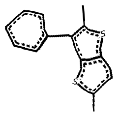 Cc1cc2sc(C)c(-c3ccccc3)c2s1